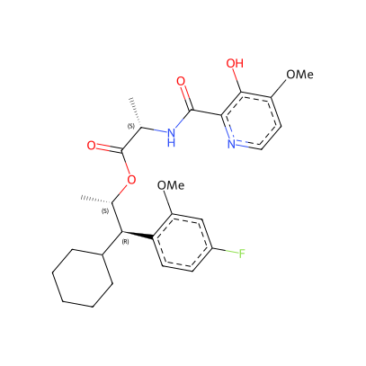 COc1cc(F)ccc1[C@@H](C1CCCCC1)[C@H](C)OC(=O)[C@H](C)NC(=O)c1nccc(OC)c1O